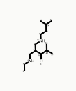 CCNCC(CNCCC(C)C)C(=O)C(C)C